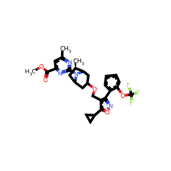 COC(=O)c1cc(C)nc(N2C3CC(OCc4c(-c5ccccc5OC(F)(F)F)noc4C4CC4)CC2[C@H](C)C3)n1